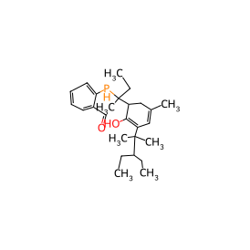 CCC(CC)C(C)(C)C1=C(O)C(C(C)(CC)Pc2ccccc2C=O)CC(C)=C1